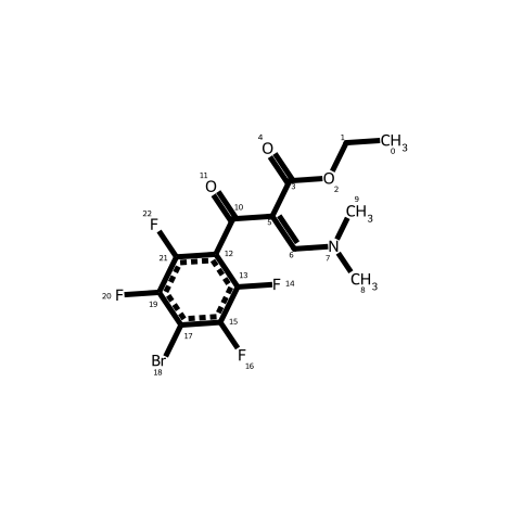 CCOC(=O)C(=CN(C)C)C(=O)c1c(F)c(F)c(Br)c(F)c1F